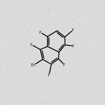 [CH2]Cc1c(F)c(F)c2c(F)c(F)cc(F)c2c1F